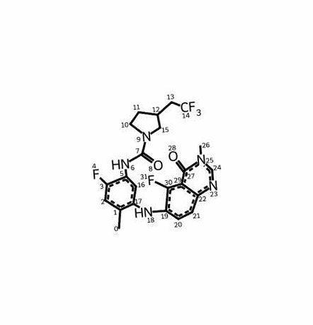 Cc1cc(F)c(NC(=O)N2CCC(CC(F)(F)F)C2)cc1Nc1ccc2ncn(C)c(=O)c2c1F